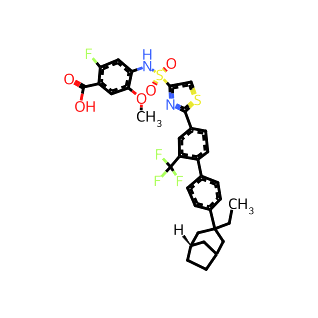 CCC1(c2ccc(-c3ccc(-c4nc(S(=O)(=O)Nc5cc(F)c(C(=O)O)cc5OC)cs4)cc3C(F)(F)F)cc2)CC2CC[C@@H](C2)C1